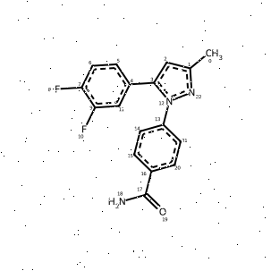 Cc1cc(-c2ccc(F)c(F)c2)n(-c2ccc(C(N)=O)cc2)n1